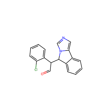 O=CC(c1ccccc1Cl)C1c2ccccc2-c2cncn21